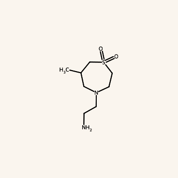 CC1CN(CCN)CCS(=O)(=O)C1